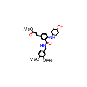 COC(=O)/C=C/c1ccc(N[C@H]2CC[C@H](O)CC2)c(C(=O)NCc2ccc(OC)c(OC)c2)c1